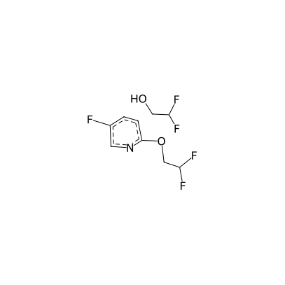 Fc1ccc(OCC(F)F)nc1.OCC(F)F